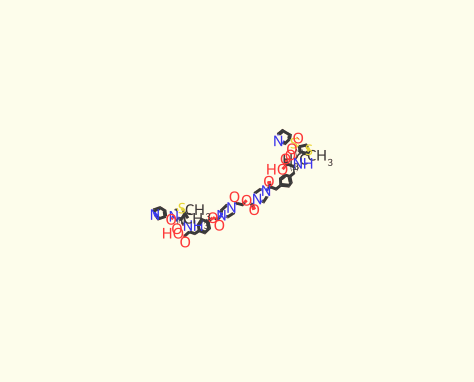 CC1(C)SCC(S(=O)(=O)c2cccnc2)[C@@H]1C(=O)N[C@@H](Cc1ccc(CC(=O)N2CCN(C(=O)OCC(=O)N3CCN(C(=O)Oc4ccc(CC(NC(=O)[C@H]5N(Oc6cccnc6)CSC5(C)C)C(=O)O)cc4)CC3)CC2)cc1)C(=O)O